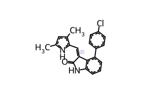 Cc1cc(C)c(/C=C2\C(=O)Nc3cccc(-c4ccc(Cl)cc4)c32)[nH]1